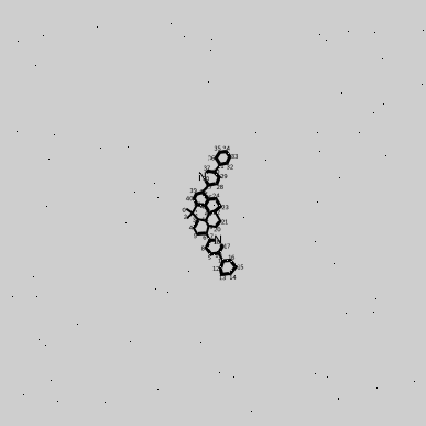 CC1(C)C2=CC=C(c3ccc(-c4ccccc4)cn3)C3C=Cc4ccc5c(-c6ccc(-c7ccccc7)cn6)ccc1c5c4C23